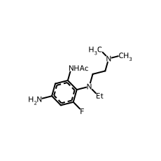 CCN(CCN(C)C)c1c(F)cc(N)cc1NC(C)=O